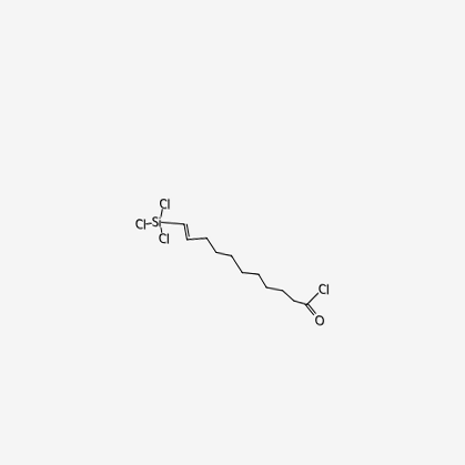 O=C(Cl)CCCCCCCC/C=C/[Si](Cl)(Cl)Cl